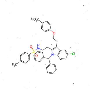 O=C(O)c1ccc(OCCc2c(CCNS(=O)(=O)c3ccc(C(F)(F)F)cc3)n(C(c3ccccc3)c3ccccc3)c3ccc(Cl)cc23)cc1